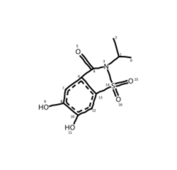 CC(C)N1C(=O)c2cc(O)c(O)cc2S1(=O)=O